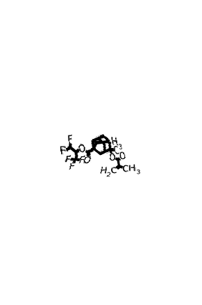 C=C(C)C(=O)OC1(C)C2CC3CC1CC(C(=O)OC(C(F)F)C(F)(F)F)(C3)C2